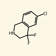 FC1(F)CNCc2ccc(Cl)cc21